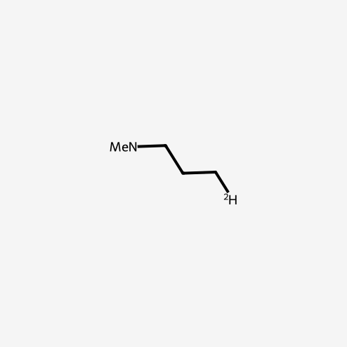 [2H]CCCNC